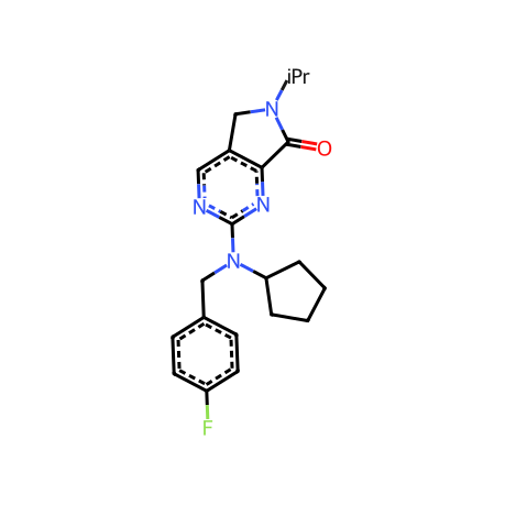 CC(C)N1Cc2cnc(N(Cc3ccc(F)cc3)C3CCCC3)nc2C1=O